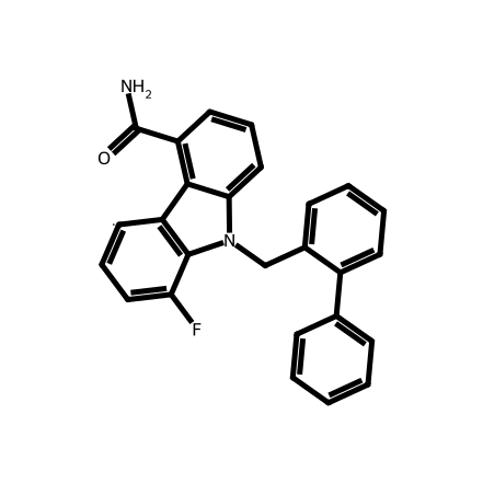 NC(=O)c1cccc2c1c1[c]ccc(F)c1n2Cc1ccccc1-c1ccccc1